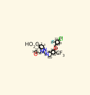 O=C(O)c1ccc2nc(CN3CCc4cc(C(F)(F)F)c(OCc5ccc(Cl)cc5F)cc4C3)n(C[C@@H]3CCO3)c2c1